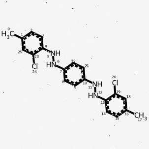 Cc1ccc(NNc2ccc(NNc3ccc(C)cc3Cl)cc2)c(Cl)c1